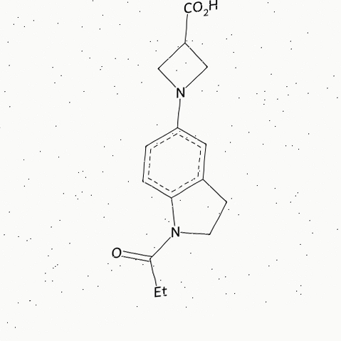 CCC(=O)N1CCc2cc(N3CC(C(=O)O)C3)ccc21